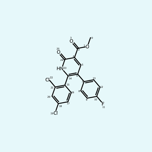 COC(=O)c1cc(-c2ccc(F)cc2)c(-c2ccc(Cl)cc2Cl)[nH]c1=O